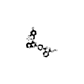 CC(C)(C)OC(=O)N1CCSC[C@@H]1C(=O)N1CCN(c2nc(N(N)Cc3ccc(Cl)cc3Cl)c3cccnc3n2)CC1